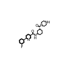 O=C(N[C@H]1CCC[C@@H](C(=O)N2CCNCC2)C1)c1ccc(-c2cccc(F)c2)nc1